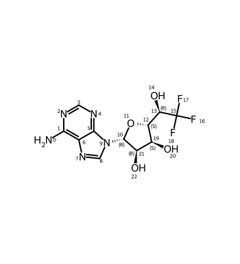 Nc1ncnc2c1ncn2[C@@H]1O[C@H]([C@@H](O)C(F)(F)F)[C@@H](O)[C@H]1O